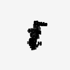 COc1cc(C(C)(C)C2CN=C(SCc3c(F)cc(S(=O)(=O)N(CCC[N+](C)(C)C)C(C)(C)C(=O)O)cc3F)N2c2ccc(F)cc2)ccc1Cl